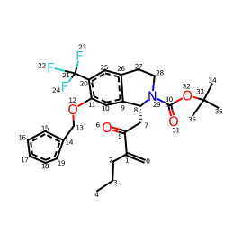 C=C(CCC)C(=O)C[C@@H]1c2cc(OCc3ccccc3)c(C(F)(F)F)cc2CCN1C(=O)OC(C)(C)C